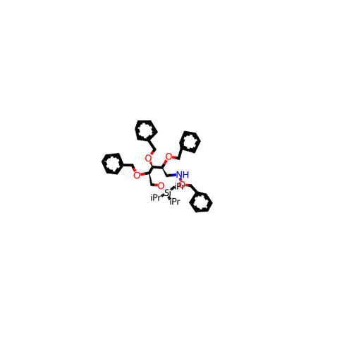 CC(C)[Si](OC[C@@H](OCc1ccccc1)[C@@H](OCc1ccccc1)[C@H](CNOCc1ccccc1)OCc1ccccc1)(C(C)C)C(C)C